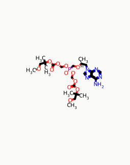 COCC(C)(C)OC(=O)OCOP(=O)(CO[C@H](C)Cn1cnc2c(N)ncnc21)OCOC(=O)OC(C)(C)COC